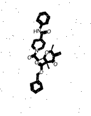 C=C1C(=O)[C@](C)(C(=O)OCc2ccccc2)[C@@H](CC(=O)N2CCC(C(=O)Nc3ccccc3)CC2)O[C@H]1C